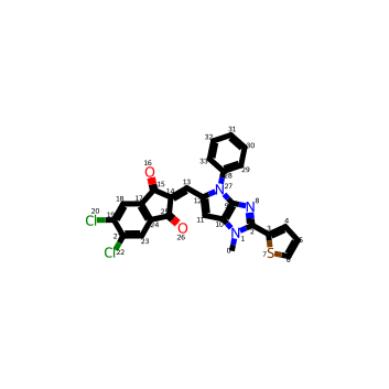 Cn1c(-c2cccs2)nc2c1cc(C=C1C(=O)c3cc(Cl)c(Cl)cc3C1=O)n2-c1ccccc1